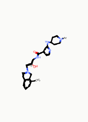 CC(=O)N1CCC(Nc2cc(C(=O)NC[C@H](O)CN3CCc4cccc(C)c4C3)ccn2)CC1